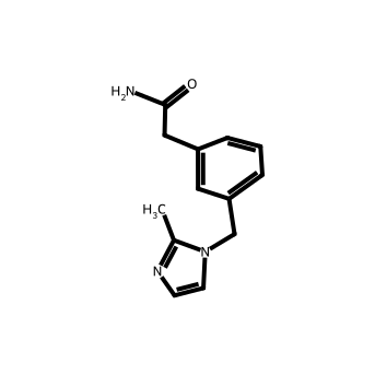 Cc1nccn1Cc1cccc(CC(N)=O)c1